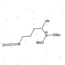 CCCC(CCCN=C=O)[SiH](OC)OC